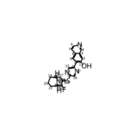 Oc1cc2cnccc2cc1-c1cnc(S[C@@H]2C[C@H]3CCC[C@H](N3)[C@H]2F)cn1